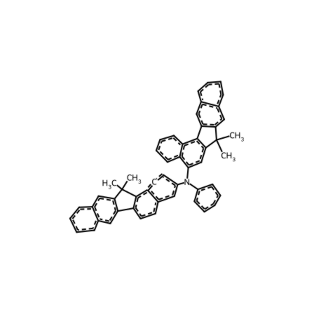 CC1(C)c2cc3ccccc3cc2-c2c1cc(N(c1ccccc1)c1ccc3c4c(ccc3c1)-c1cc3ccccc3cc1C4(C)C)c1ccccc21